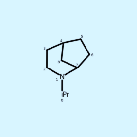 CC(C)N1CCC2CCC1C2